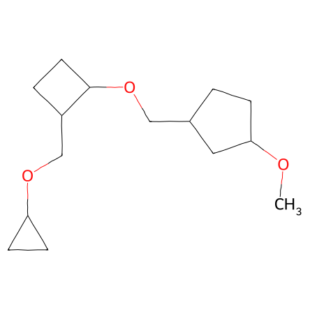 COC1CCC(COC2CCC2COC2CC2)C1